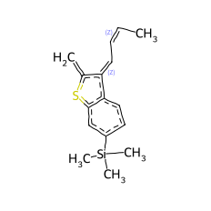 C=c1sc2cc([Si](C)(C)C)ccc2/c1=C/C=C\C